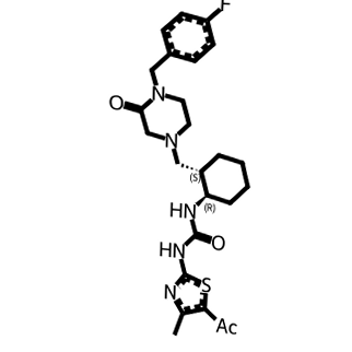 CC(=O)c1sc(NC(=O)N[C@@H]2CCCC[C@H]2CN2CCN(Cc3ccc(F)cc3)C(=O)C2)nc1C